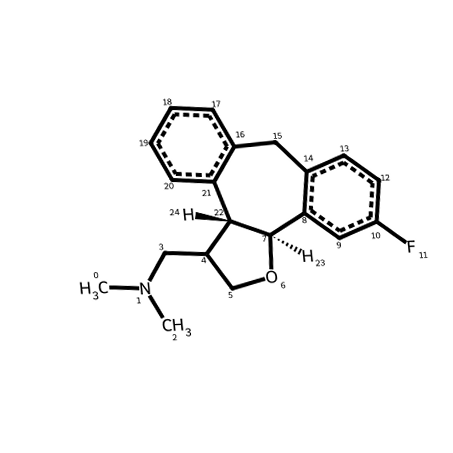 CN(C)CC1CO[C@@H]2c3cc(F)ccc3Cc3ccccc3[C@@H]12